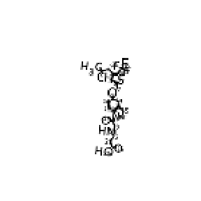 CC(C)Cc1cc(COc2ccc3c(c2)CCN3C(=O)CNCCC(=O)O)sc1C(F)(F)F